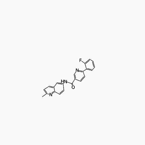 Cc1ccc2cc(NC(=O)c3ccc(-c4ccccc4F)nc3)ccc2n1